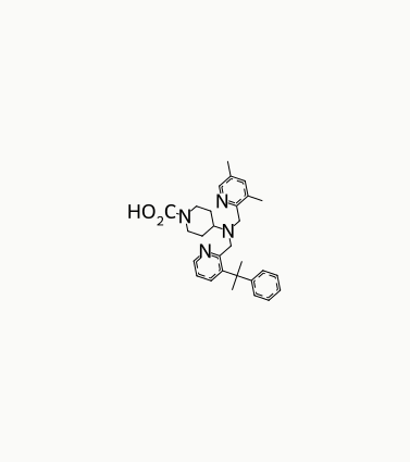 Cc1cnc(CN(Cc2ncccc2C(C)(C)c2ccccc2)C2CCN(C(=O)O)CC2)c(C)c1